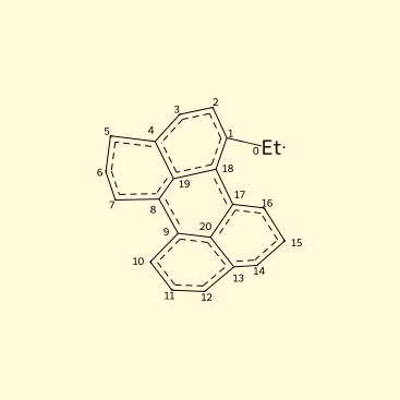 C[CH]c1ccc2cccc3c4cccc5cccc(c1c23)c54